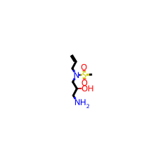 C=CCN(C[C@@H](O)CN)S(C)(=O)=O